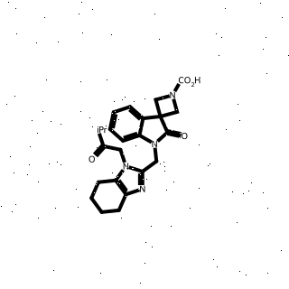 CC(C)C(=O)Cn1c(CN2C(=O)C3(CN(C(=O)O)C3)c3ccccc32)nc2c1CCCC2